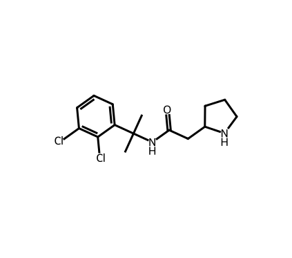 CC(C)(NC(=O)CC1CCCN1)c1cccc(Cl)c1Cl